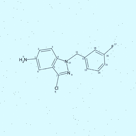 Nc1ccc2c(c1)c(Cl)nn2Cc1cccc(F)c1